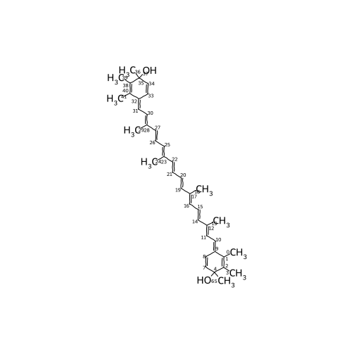 CC1=C(C)C(C)(O)C=C\C1=C/C=C(C)/C=C/C=C(C)/C=C/C=C/C(C)=C/C=C/C(C)=C/C=C1\C=CC(C)(O)C(C)=C1C